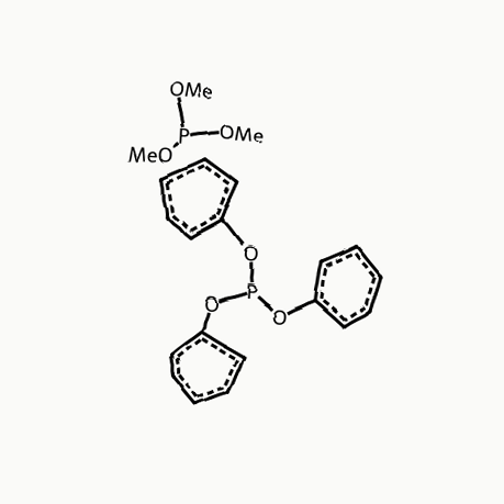 COP(OC)OC.c1ccc(OP(Oc2ccccc2)Oc2ccccc2)cc1